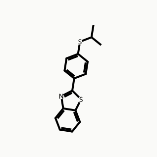 CC(C)Sc1ccc(-c2nc3ccccc3s2)cc1